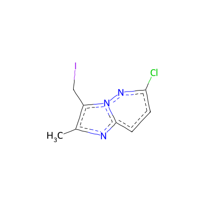 Cc1nc2ccc(Cl)nn2c1CI